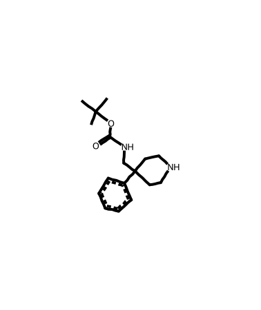 CC(C)(C)OC(=O)NCC1(c2ccccc2)CCNCC1